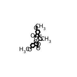 CCC(c1nc2ccc(OC)cc2c(=O)o1)c1nc2ccc(OC)cc2c(=O)o1